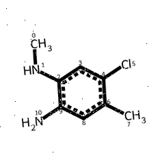 CNc1cc(Cl)c(C)cc1N